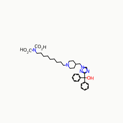 O=C(O)N(CCCCCCCCCN1CCC(Cn2cnc(C(O)(c3ccccc3)c3ccccc3)n2)CC1)C(=O)O